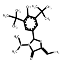 C/C=C1\SC(c2cc(C(C)(C)C)c(O)c(C(C)(C)C)c2)N(N(C)C)C1=O